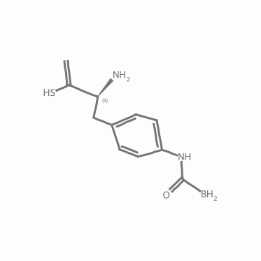 BC(=O)Nc1ccc(C[C@H](N)C(=C)S)cc1